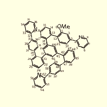 COc1cc(-c2ccccn2)ccc1-c1ccccc1-c1cc(-c2ccccc2-c2ccc(-c3ccccn3)cc2)cc(-c2ccccc2-c2ccc(-c3ccccn3)cc2)c1